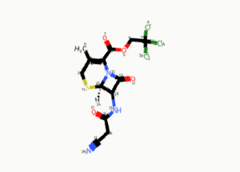 CC1=C(C(=O)OCC(Cl)(Cl)Cl)N2C(=O)C(NC(=O)CC#N)[C@H]2SC1